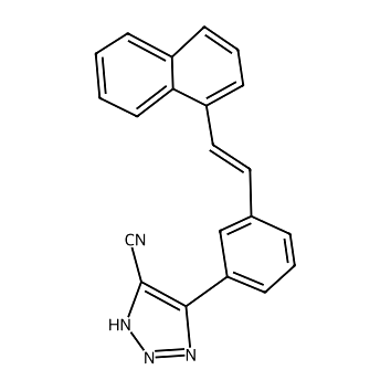 N#Cc1[nH]nnc1-c1cccc(/C=C/c2cccc3ccccc23)c1